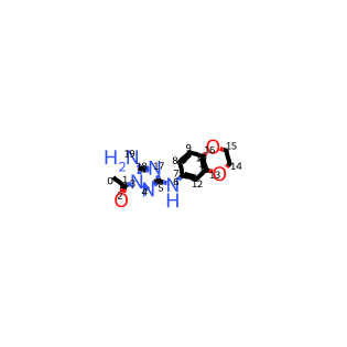 CC(=O)n1nc(Nc2ccc3c(c2)OCCO3)nc1N